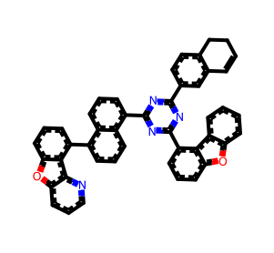 C1=Cc2cc(-c3nc(-c4cccc5c(-c6cccc7oc8cccnc8c67)cccc45)nc(-c4cccc5oc6ccccc6c45)n3)ccc2CC1